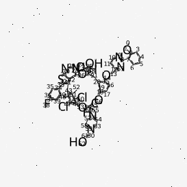 COc1ccccc1-c1nccc(COc2ccc3cc2C[C@H](C(=O)O)Oc2ncnc4sc(-c5ccc(F)cc5)c(c24)-c2c(C)c(Cl)c(c(Cl)c2C)O[C@H](CN2CCN(CCO)CC2)CO3)n1